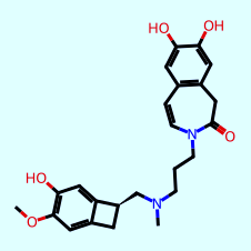 COc1cc2c(cc1O)[C@@H](CN(C)CCCN1C=Cc3cc(O)c(O)cc3CC1=O)C2